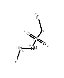 O=S(=O)(CF)NNI